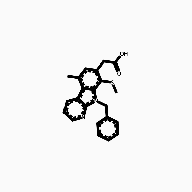 CSc1c(CC(=O)O)cc(C)c2c3cccnc3n(Cc3ccccc3)c12